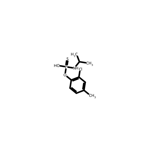 Cc1ccc(OP(O)(=S)NC(C)C)c(Cl)c1